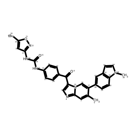 Cc1cc2ncc(C(=O)c3ccc(NC(=O)Nc4cc(C(C)(C)C)on4)cc3)n2cc1-c1ccc2c(ccn2C)c1